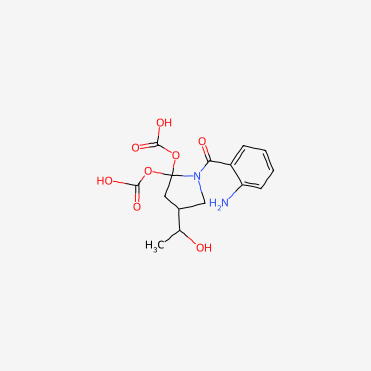 CC(O)C1CN(C(=O)c2ccccc2N)C(OC(=O)O)(OC(=O)O)C1